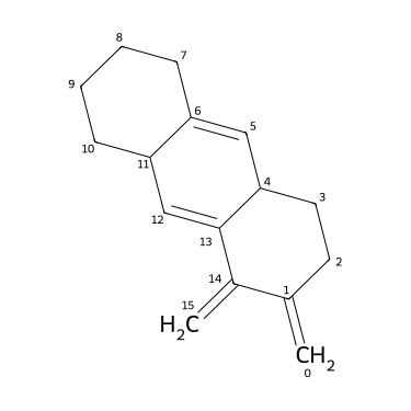 C=C1CCC2C=C3CCCCC3C=C2C1=C